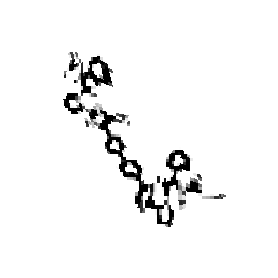 COC(=O)NC(C(=O)N1CCCC1c1ncc(-c2ccc(-c3ccc(-c4[nH]c([C@@H]5CCCN5C(=O)[C@](C)(OC(N)=O)c5ccccc5)nc4C(F)(F)F)cc3)cc2)[nH]1)c1ccccc1